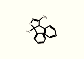 CC1=NOC(O)(c2ccccc2)C1c1ccccc1